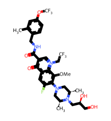 COc1c(N2C[C@@H](C)N(C[C@@H](O)CO)[C@@H](C)C2)c(F)cc2c(=O)c(C(=O)NCc3ccc(OC(F)(F)F)cc3C)cn(CC(F)(F)F)c12